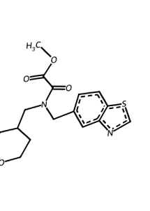 COC(=O)C(=O)N(Cc1ccc2scnc2c1)CC1CCOCC1